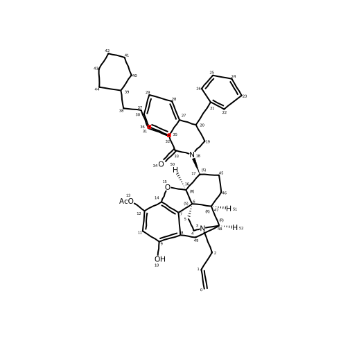 C=CCN1CC[C@]23c4c5c(O)cc(OC(C)=O)c4O[C@H]2[C@@H](N(CC(c2ccccc2)c2ccccc2)C(=O)CCCCC2CCCCC2)CC[C@H]3[C@H]1C5